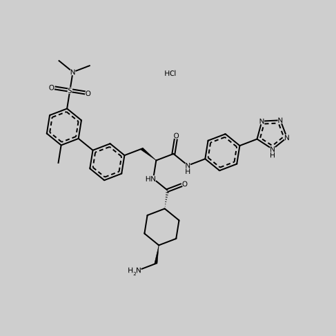 Cc1ccc(S(=O)(=O)N(C)C)cc1-c1cccc(C[C@H](NC(=O)[C@H]2CC[C@H](CN)CC2)C(=O)Nc2ccc(-c3nnn[nH]3)cc2)c1.Cl